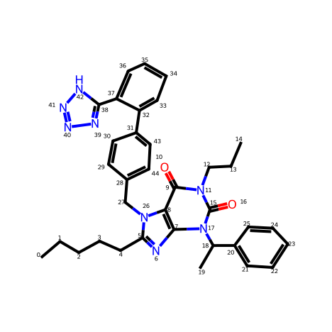 CCCCCc1nc2c(c(=O)n(CCC)c(=O)n2C(C)c2ccccc2)n1Cc1ccc(-c2ccccc2-c2nnn[nH]2)cc1